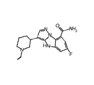 CCN1CCCC(c2cnn3c2[nH]c2cc(F)cc(C(N)=O)c23)C1